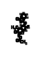 CC(=O)OSOC(=O)C(C)c1cc(N=c2sc(=O)n3n2CCCC3)c(F)cc1Cl